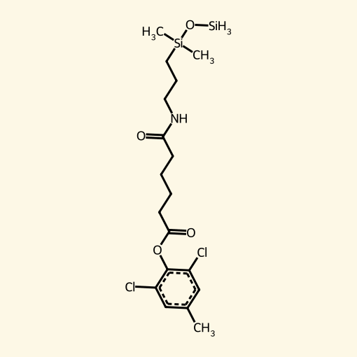 Cc1cc(Cl)c(OC(=O)CCCCC(=O)NCCC[Si](C)(C)O[SiH3])c(Cl)c1